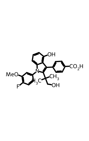 COc1cc(-n2c(C(C)(C)CO)c(-c3ccc(C(=O)O)cc3)c3c(O)cccc32)ccc1F